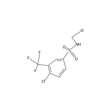 [O]CNS(=O)(=O)c1ccc(Cl)c(C(F)(F)F)c1